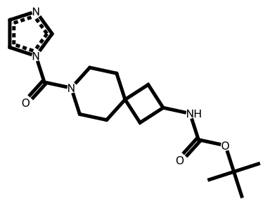 CC(C)(C)OC(=O)NC1CC2(CCN(C(=O)n3ccnc3)CC2)C1